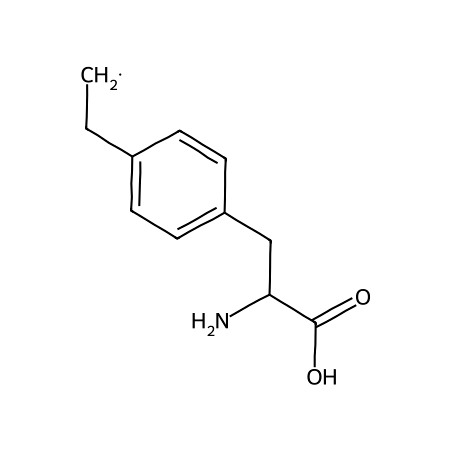 [CH2]Cc1ccc(CC(N)C(=O)O)cc1